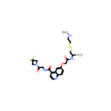 O=CNCCSSCC(NC(=O)COc1ccc2nccc(C(=O)NCC(=O)N3CC(F)(F)C3)c2c1)C(=O)O